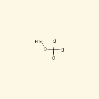 ClC(Cl)(Cl)O[TeH]